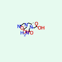 C[C@@H](CN(CC#N)CC(=O)O)N(CC(N)=O)CC(=O)O